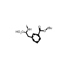 CC(C)(C)OC(=O)c1cccc(C[C@H](NI)C(=O)O)c1